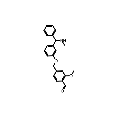 CNC(c1ccccc1)c1cccc(OCc2ccc(C=O)c(OC)c2)c1